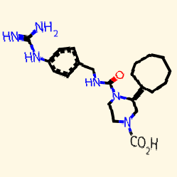 N=C(N)Nc1ccc(CNC(=O)N2CCN(C(=O)O)CC2=C2CCCCCCC2)cc1